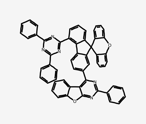 c1ccc(-c2nc(-c3ccccc3)nc(-c3cccc4c3-c3ccc(-c5nc(-c6ccccc6)nc6oc7ccccc7c56)cc3C43c4ccccc4Oc4ccccc43)n2)cc1